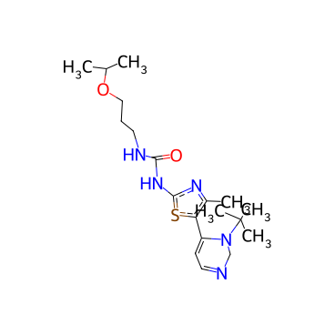 Cc1nc(NC(=O)NCCCOC(C)C)sc1C1=CC=NCN1C(C)(C)C